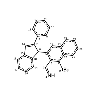 CC(C)(C)c1c(C=N)c(C2C(c3ccccc3)=Cc3ccccc32)cc2ccccc12